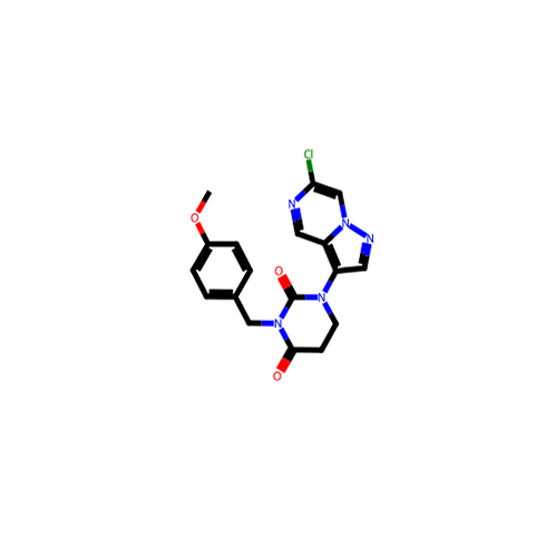 COc1ccc(CN2C(=O)CCN(c3cnn4cc(Cl)ncc34)C2=O)cc1